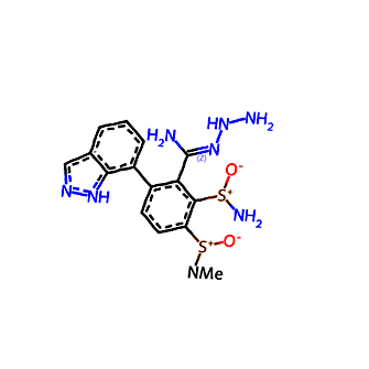 CN[S+]([O-])c1ccc(-c2cccc3cn[nH]c23)c(/C(N)=N/NN)c1[S+](N)[O-]